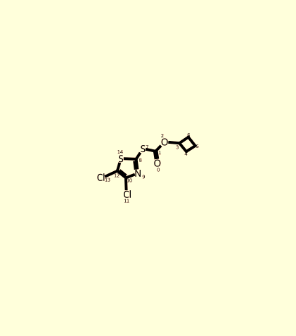 O=C(OC1CCC1)Sc1nc(Cl)c(Cl)s1